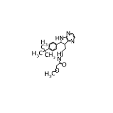 COCC(=O)NCCCC1c2nccnc2NC1c1ccc(C(C)(C)C)cc1